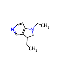 CCC1CN(CC)c2ccncc21